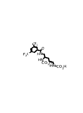 O=C(O)NCCCC(CNC(=O)c1cc(C(F)(F)F)cc(C(F)(F)F)c1)NC(=O)O